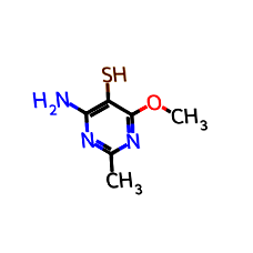 COc1nc(C)nc(N)c1S